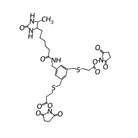 CC1NC(=O)NC1CCCCCC(=O)NCc1cc(CSCCC(=O)ON2C(=O)CCC2=O)cc(CSCCC(=O)ON2C(=O)CCC2=O)c1